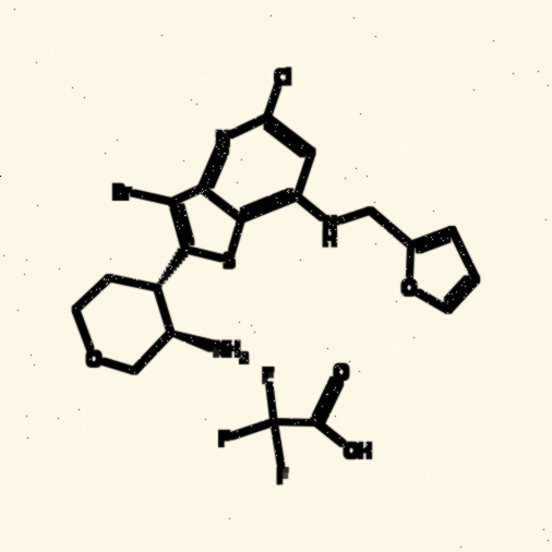 N[C@H]1COCC[C@@H]1c1sc2c(NCc3ccco3)cc(Cl)nc2c1Br.O=C(O)C(F)(F)F